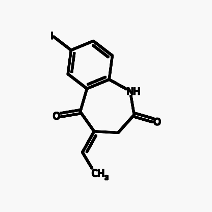 C/C=C1\CC(=O)Nc2ccc(I)cc2C1=O